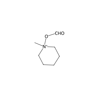 C[N+]1(OC=O)CCCCC1